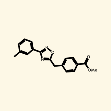 COC(=O)c1ccc(Cc2nc(-c3cccc(C)c3)no2)cc1